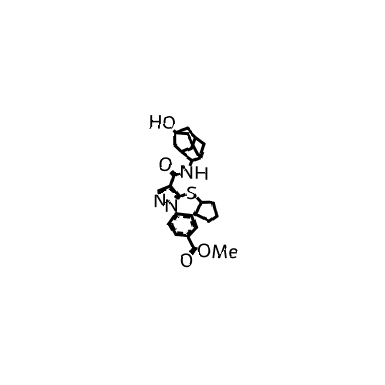 COC(=O)c1ccc(-n2ncc(C(=O)NC3C4CC5CC3CC(O)(C5)C4)c2SC2CCCC2)cc1